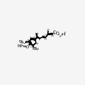 CCCOc1c(C(C)(C)C)cc(/C(C)=C/C=C/C(C)=C/C(=O)O)cc1C(C)(C)C